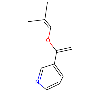 C=C(OC=C(C)C)c1cccnc1